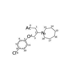 CC(=O)CC(COc1ccc(Cl)cc1)N1CCCCCC1